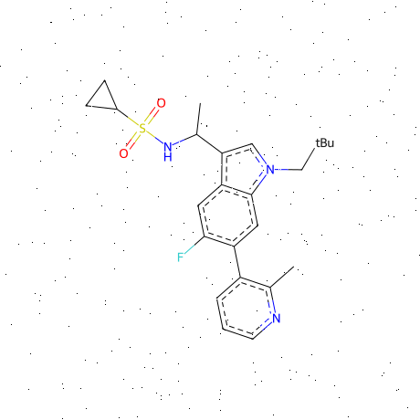 Cc1ncccc1-c1cc2c(cc1F)c(C(C)NS(=O)(=O)C1CC1)cn2CC(C)(C)C